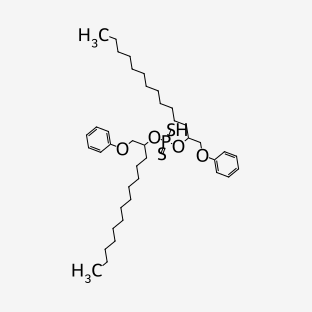 CCCCCCCCCCCCC(COc1ccccc1)OP(=S)(S)OC(CCCCCCCCCCCC)COc1ccccc1